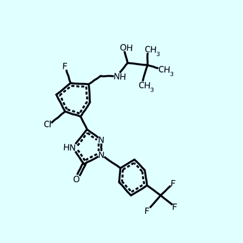 CC(C)(C)C(O)NCc1cc(-c2nn(-c3ccc(C(F)(F)F)cc3)c(=O)[nH]2)c(Cl)cc1F